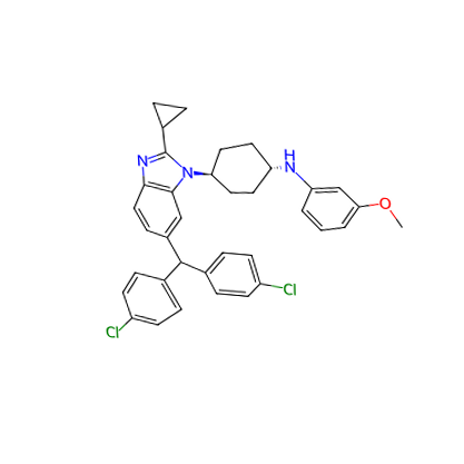 COc1cccc(N[C@H]2CC[C@H](n3c(C4CC4)nc4ccc(C(c5ccc(Cl)cc5)c5ccc(Cl)cc5)cc43)CC2)c1